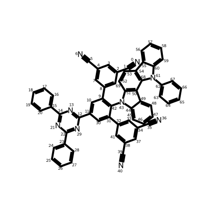 N#Cc1cc(C#N)cc(-c2cc(-c3nc(-c4ccccc4)nc(-c4ccccc4)n3)cc(-c3cc(C#N)cc(C#N)c3)c2-n2c3ccccc3c3c2ccc2c4ccccc4n(-c4ccccc4)c23)c1